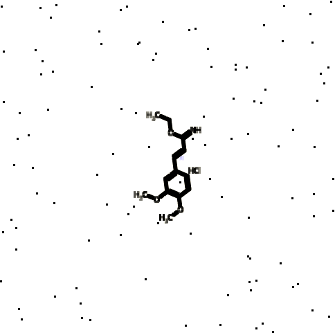 CCOC(=N)/C=C/c1ccc(OC)c(OC)c1.Cl